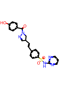 O=C(c1ccc(O)cc1)N1CC(/C=C/c2ccc(S(=O)(=O)Nc3ncccn3)cc2)C=N1